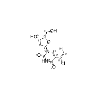 O=c1[nH]c(=O)n([C@H]2C[C@H](O)[C@@H](CO)O2)cc1/C(Cl)=C\I